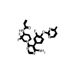 C=CC(=O)NC1CCN(c2ncnc(N)c2-c2ccc(Oc3nccc(C)n3)c(F)c2)CC1(F)F